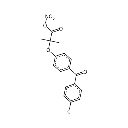 CC(C)(Oc1ccc(C(=O)c2ccc(Cl)cc2)cc1)C(=O)O[N+](=O)[O-]